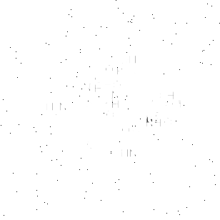 Cl.Cn1cc(N)cc1C(=O)NC1=CC(NC(=O)c2ccc[nH]2)C(C)(P(=O)(O)O)c2cccc(P(=O)(O)O)c21